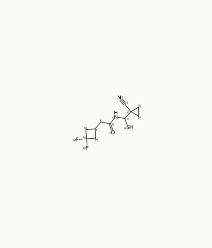 N#CC1(C(S)NC(=O)CC2CC(F)(F)C2)CC1